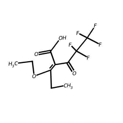 CCOC(CC)=C(C(=O)O)C(=O)C(F)(F)C(F)(F)F